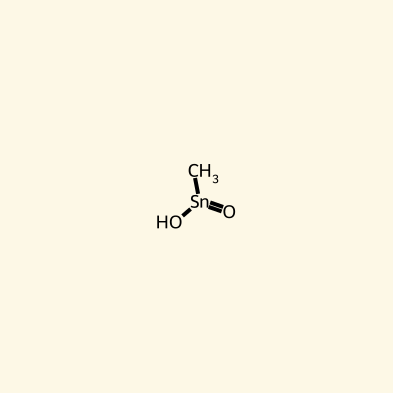 [CH3][Sn](=[O])[OH]